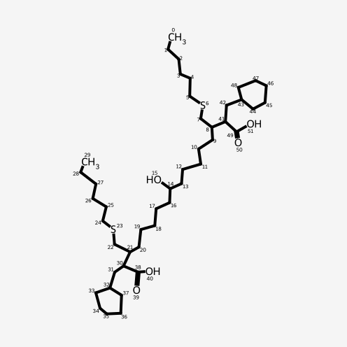 CCCCCCSCC(CCCCCC(O)CCCCCC(CSCCCCCC)C(CC1CCCCC1)C(=O)O)C(CC1CCCCC1)C(=O)O